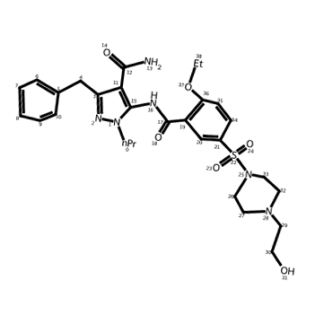 CCCn1nc(Cc2ccccc2)c(C(N)=O)c1NC(=O)c1cc(S(=O)(=O)N2CCN(CCO)CC2)ccc1OCC